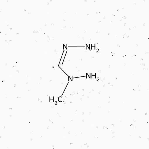 CN(N)/C=N\N